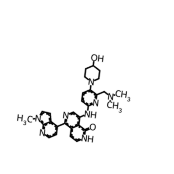 CN(C)Cc1nc(Nc2cnc(-c3ccnc4c3ccn4C)c3cc[nH]c(=O)c23)ccc1N1CCC(O)CC1